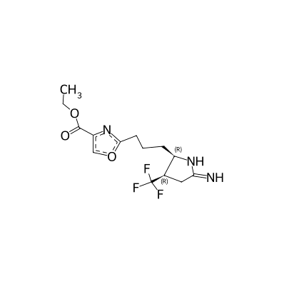 CCOC(=O)c1coc(CCC[C@H]2NC(=N)C[C@H]2C(F)(F)F)n1